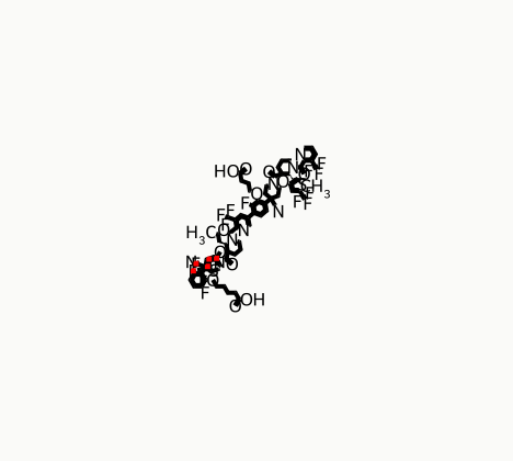 CCC[C@H]1N(C(=O)c2ncc(-c3ccc(C4(C#N)CCN(C(=O)[C@]5(Oc6csc(C(F)(F)F)c6)CCCN(C(=O)c6ncccc6C(F)(F)F)[C@@H]5CCC)CC4)c(OCCCC(=O)O)c3F)cc2C(F)(F)F)CCC[C@@]1(Oc1csc(C(F)(F)F)c1)C(=O)N1CCC(C#N)(c2cccc(F)c2OCCCCC(=O)O)CC1